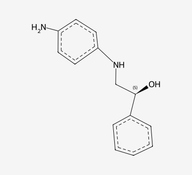 Nc1ccc(NC[C@@H](O)c2ccccc2)cc1